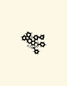 Cc1ccc(-c2ccccc2)cc1C1C2=C(CC=C(c3ccccc3)C(c3ccccc3)=C2)C(C)C(OC(=O)c2ccccc2)C1OC(=O)c1ccccc1